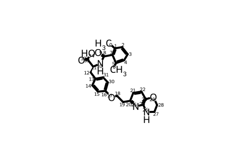 Cc1cccc(C)c1C(=O)N[C@@H](Cc1ccc(OCCc2ccc3c(n2)NCCO3)cc1)C(=O)O